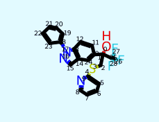 OC(CSc1ccccn1)(c1ccc2c(cnn2-c2ccccc2)c1)C(F)(F)F